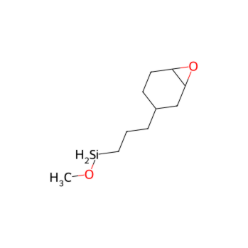 CO[SiH2]CCCC1CCC2OC2C1